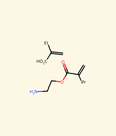 C=C(C(=O)OCCN)C(C)C.C=C(CC)C(=O)O